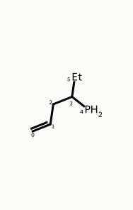 C=CCC(P)CC